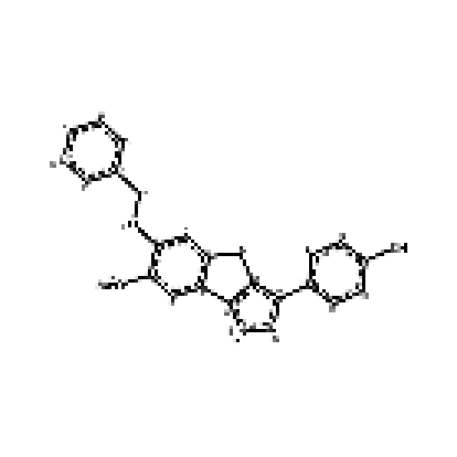 COc1cc2c(cc1OCc1cccnc1)Cc1c(-c3ccc(C#N)cc3)n[nH]c1-2